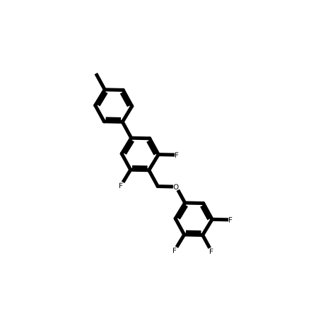 Cc1ccc(-c2cc(F)c(COc3cc(F)c(F)c(F)c3)c(F)c2)cc1